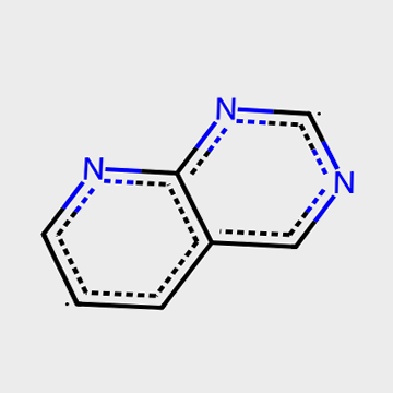 [c]1cnc2n[c]ncc2c1